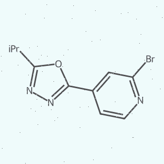 CC(C)c1nnc(-c2ccnc(Br)c2)o1